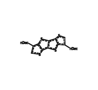 CCCCCCCCCCc1csc2c1sc1c3scc(CCCCCCCCCC)c3sc21